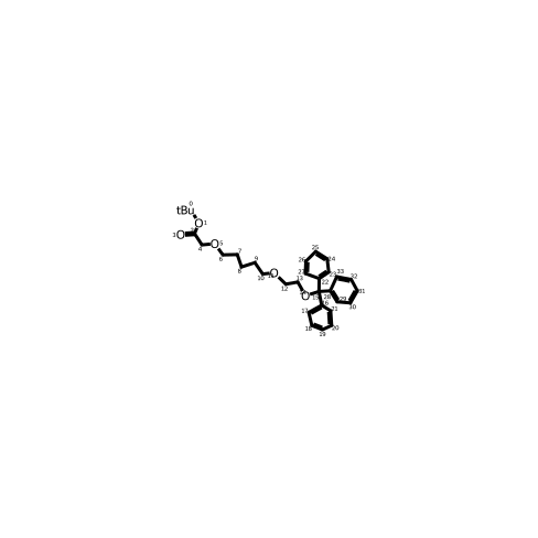 CC(C)(C)OC(=O)COCCCCCOCCOC(c1ccccc1)(c1ccccc1)c1ccccc1